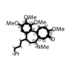 CN[C@H]1CC(CCCC(C)C)c2cc(OC)c(OC)c(OC)c2-c2ccc(OC)c(=O)cc21